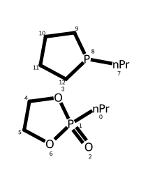 CCCP1(=O)OCCO1.CCCP1CCCC1